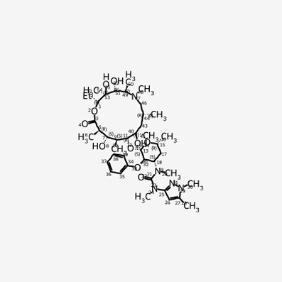 CC[C@H]1OC(=O)[C@H](C)[C@@H](O)[C@H](C)[C@@H](O[C@@H]2O[C@H](C)C[C@H](N(C)C(=O)N(C)c3cc(C)n(C)n3)[C@H]2Oc2ccccc2)[C@](C)(O)C[C@@H](C)CN(C)[C@H](C)[C@@H](O)[C@]1(C)O